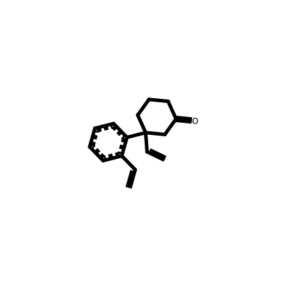 C=Cc1ccccc1C1(C=C)CCCC(=O)C1